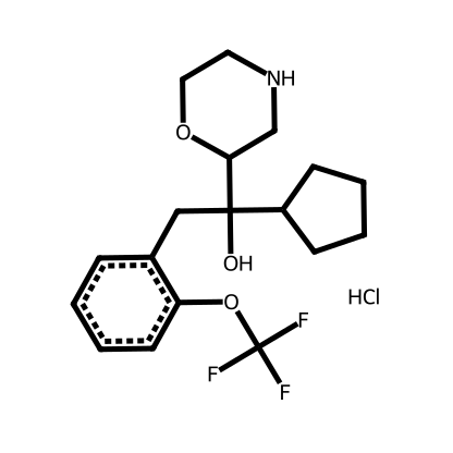 Cl.OC(Cc1ccccc1OC(F)(F)F)(C1CCCC1)C1CNCCO1